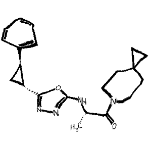 C[C@H](Nc1nnc([C@@H]2C[C@H]2c2ccccc2)o1)C(=O)N1CCC2(CC1)CC2